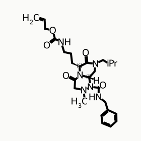 C=CCOC(=O)NCCC[C@H]1C(=O)N(CC(C)C)C[C@H]2N1C(=O)CN(C)N2C(=O)NCc1ccccc1